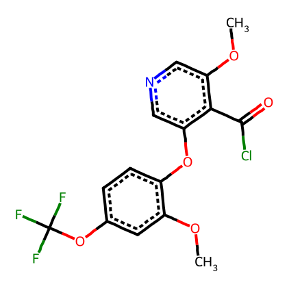 COc1cc(OC(F)(F)F)ccc1Oc1cncc(OC)c1C(=O)Cl